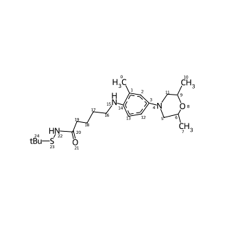 Cc1cc(N2CC(C)OC(C)C2)ccc1NCCCCC(=O)NSC(C)(C)C